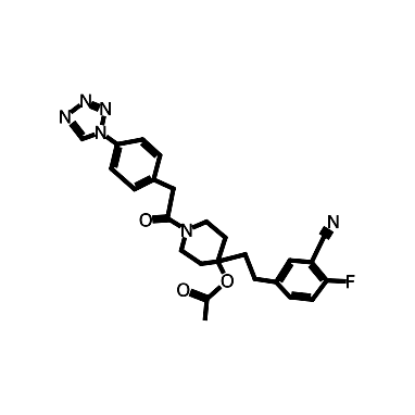 CC(=O)OC1(CCc2ccc(F)c(C#N)c2)CCN(C(=O)Cc2ccc(-n3cnnn3)cc2)CC1